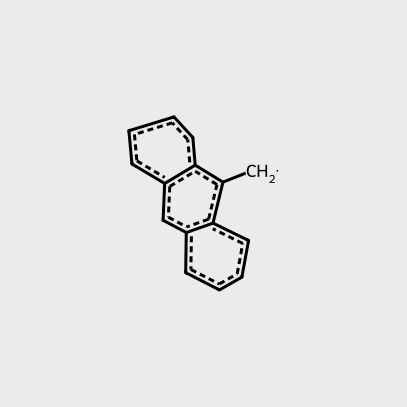 [CH2]c1c2ccccc2cc2ccccc12